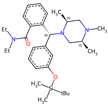 CCN(CC)C(=O)c1ccccc1[C@@H](c1cccc(O[Si](C)(C)C(C)(C)C)c1)N1C[C@H](C)N(C)C[C@@H]1C